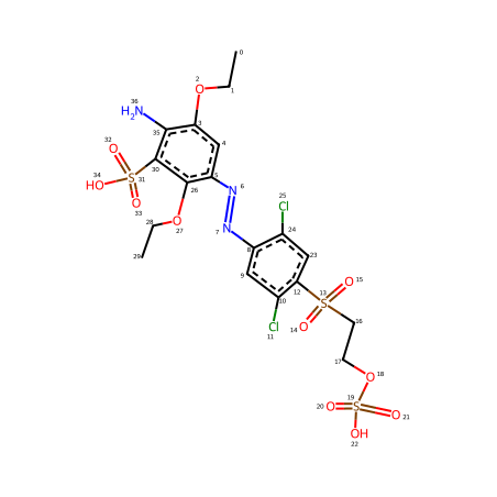 CCOc1cc(N=Nc2cc(Cl)c(S(=O)(=O)CCOS(=O)(=O)O)cc2Cl)c(OCC)c(S(=O)(=O)O)c1N